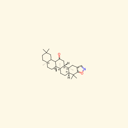 CC1(C)CC[C@]2(C)CC[C@]3(C)C(C(=O)C[C@@H]4[C@@]5(C)Cc6cnoc6C(C)(C)[C@@H]5CC[C@]43C)C2C1